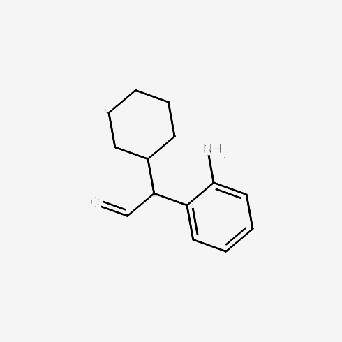 Nc1ccccc1C(C=O)C1CCCCC1